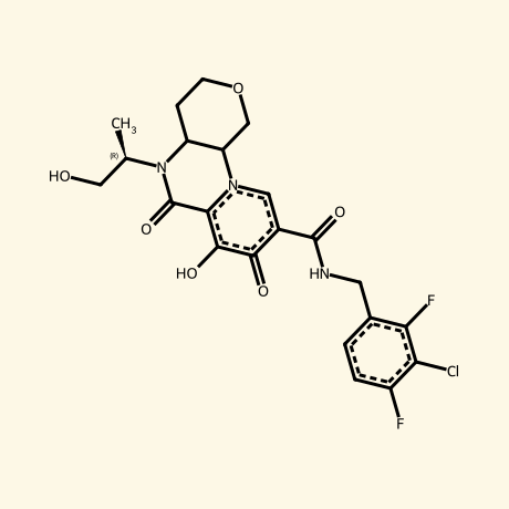 C[C@H](CO)N1C(=O)c2c(O)c(=O)c(C(=O)NCc3ccc(F)c(Cl)c3F)cn2C2COCCC21